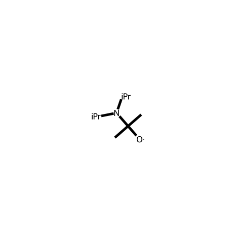 CC(C)N(C(C)C)C(C)(C)[O]